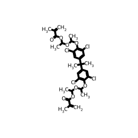 C=C(C)C(=O)OC(C)OC(C)Oc1c(Cl)cc(C(C)(C)c2cc(Cl)c(OC(C)OC(C)OC(=O)C(=C)C)c(Cl)c2)cc1Cl